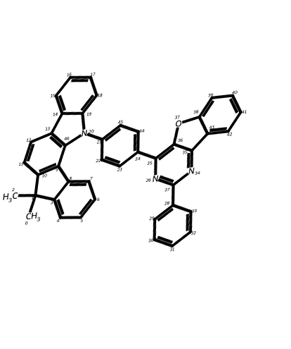 CC1(C)c2ccccc2-c2c1ccc1c3ccccc3n(-c3ccc(-c4nc(-c5ccccc5)nc5c4oc4ccccc45)cc3)c21